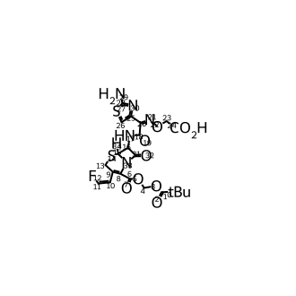 CC(C)(C)C(=O)OCOC(=O)C1=C(/C=C\F)CS[C@@H]2C(NC(=O)/C(=N\OCC(=O)O)c3csc(N)n3)C(=O)N12